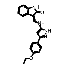 CCOc1ccc(-c2cc(NC=C3C(=O)Nc4ccccc43)[nH]n2)cc1